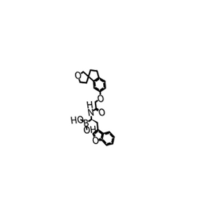 O=C(COc1ccc2c(c1)C1(CCOC1)CC2)N[C@@H](Cc1coc2ccccc12)B(O)O